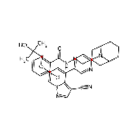 CC(C)(O)COc1cc(-c2cnc(N3C4CCCC3CC(CCNC(=O)c3ncccc3Cl)C4)cn2)c2c(C#N)cnn2c1